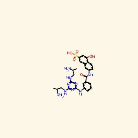 CC(N)CNc1nc(NCC(C)N)nc(Nc2cccc(C(=O)Nc3ccc4c(O)cc(S(=O)(=O)O)cc4c3)c2)n1